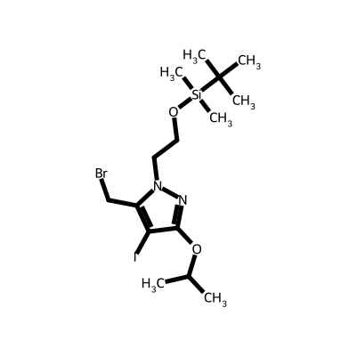 CC(C)Oc1nn(CCO[Si](C)(C)C(C)(C)C)c(CBr)c1I